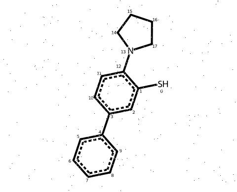 Sc1cc(-c2ccccc2)ccc1N1CCCC1